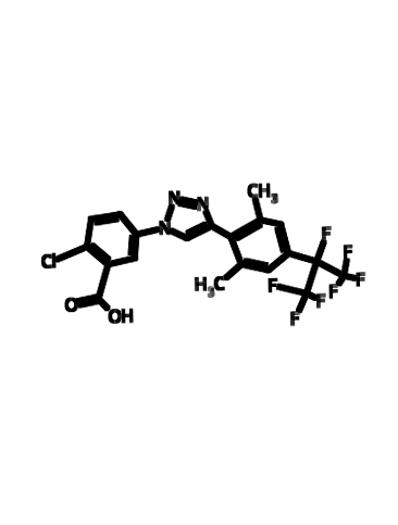 Cc1cc(C(F)(C(F)(F)F)C(F)(F)F)cc(C)c1-c1cn(-c2ccc(Cl)c(C(=O)O)c2)nn1